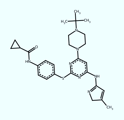 CC1=CC(Nc2cc(N3CCN(C(C)(C)C)CC3)nc(Sc3ccc(NC(=O)C4CC4)cc3)n2)=NC1